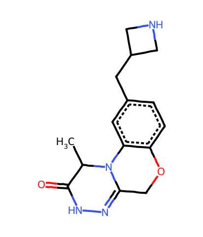 CC1C(=O)NN=C2COc3ccc(CC4CNC4)cc3N21